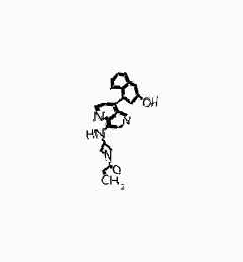 C=CC(=O)N1CC(Nc2cncc3c(-c4cc(O)cc5ccccc45)ccnc23)C1